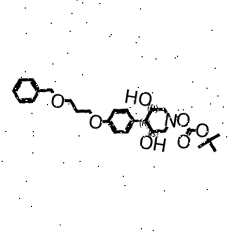 CC(C)(C)OC(=O)ON1C[C@@H](O)[C@@H](c2ccc(OCCCOCc3ccccc3)cc2)[C@@H](O)C1